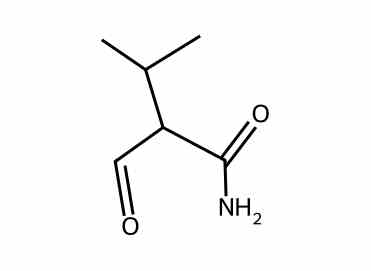 CC(C)C(C=O)C(N)=O